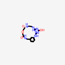 O=C1COCC(=O)NCc2cccc(c2)Nc2nc(O)nc(n2)NCCN1